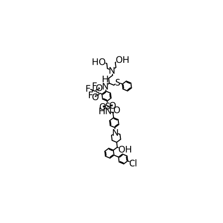 O=C(NS(=O)(=O)c1ccc(NC(CCN(CCO)CCO)CSc2ccccc2)c(S(=O)(=O)C(F)(F)F)c1)c1ccc(N2CCC(C(O)c3ccccc3-c3ccc(Cl)cc3)CC2)cc1